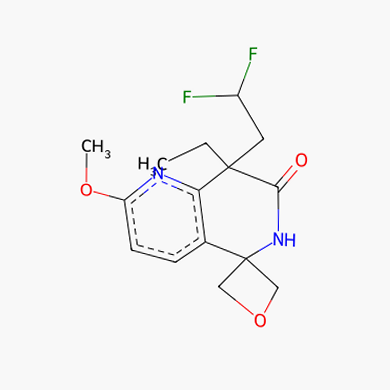 CCC1(CC(F)F)C(=O)NC2(COC2)c2ccc(OC)nc21